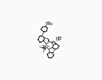 CC(C)C1=Cc2c(-c3ccc(C(C)(C)C)cc3)cccc2[CH]1[Zr+2]([CH]1c2ccccc2-c2ccccc21)=[Si](C)C.[Cl-].[Cl-]